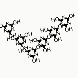 Oc1nc(O)nc(O)n1.Oc1nc(O)nc(O)n1.Oc1nc(O)nc(O)n1.Oc1nc(O)nc(O)n1.Oc1nc(O)nc(O)n1.Oc1nc(O)nc(O)n1